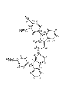 N#Cc1ccc(-n2c3ccccc3c3ccc(-c4ccc5c(c4)c4ccccc4n5-c4ccc(C#N)c(C#N)c4)cc32)cc1